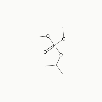 COP(=O)(OC)OC(C)C